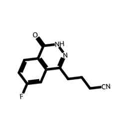 N#CCCCc1n[nH]c(=O)c2ccc(F)cc12